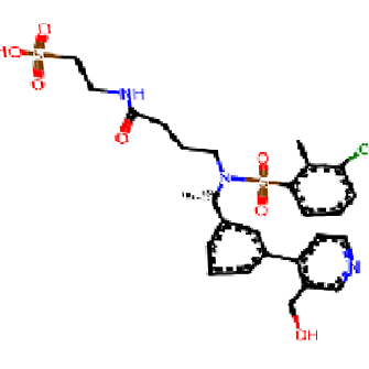 Cc1c(Cl)cccc1S(=O)(=O)N(CCCC(=O)NCCS(=O)(=O)O)[C@@H](C)c1cccc(-c2ccncc2CO)c1